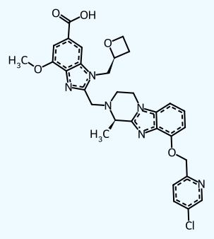 COc1cc(C(=O)O)cc2c1nc(CN1CCn3c(nc4c(OCc5ccc(Cl)cn5)cccc43)[C@H]1C)n2C[C@@H]1CCO1